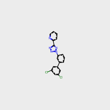 Clc1cc(Cl)cc(-c2cccc(-n3nnc(-c4ccccn4)n3)c2)c1